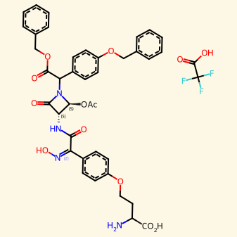 CC(=O)O[C@H]1[C@H](NC(=O)/C(=N\O)c2ccc(OCCC(N)C(=O)O)cc2)C(=O)N1C(C(=O)OCc1ccccc1)c1ccc(OCc2ccccc2)cc1.O=C(O)C(F)(F)F